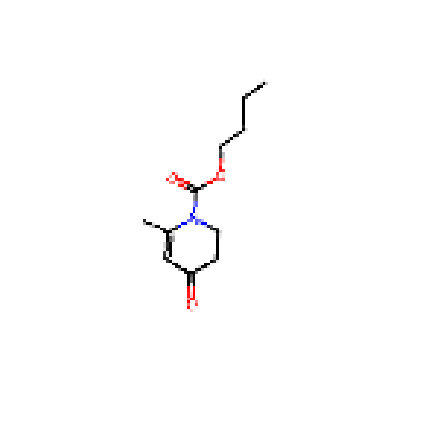 CCCCOC(=O)N1CCC(=O)C=C1C